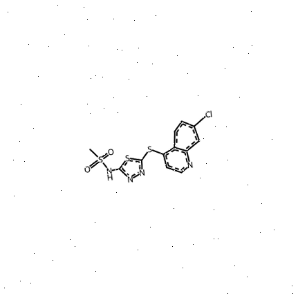 CS(=O)(=O)Nc1nnc(Sc2ccnc3cc(Cl)ccc23)s1